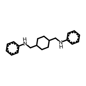 c1ccc(NCC2CCC(CNc3ccccc3)CC2)cc1